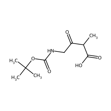 CC(C(=O)O)C(=O)CNC(=O)OC(C)(C)C